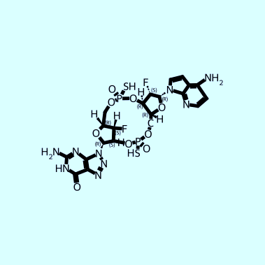 Nc1nc2c(nnn2[C@@H]2O[C@@H]3COP(=O)(S)O[C@H]4[C@H](F)[C@H](n5ccc6c(N)ccnc65)O[C@@H]4COP(=O)(S)O[C@@H]2[C@H]3F)c(=O)[nH]1